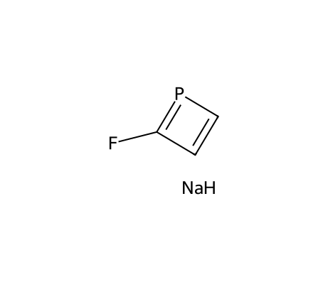 FC1=PC=C1.[NaH]